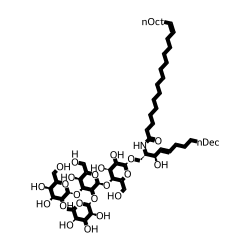 CCCCCCCC/C=C\CCCCCCCCCCCCCC(=O)N[C@@H](CO[C@@H]1OC(CO)[C@@H](O[C@@H]2OC(CO)[C@H](O)[C@H](O[C@H]3OC(CO)[C@H](O)[C@H](O)C3O)C2O[C@H]2OC(C)[C@@H](O)C(O)[C@@H]2O)[C@H](O)C1O)[C@H](O)/C=C/CCCCCCCCCCCCC